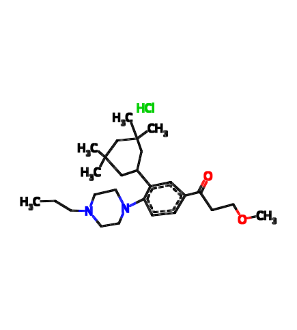 CCCN1CCN(c2ccc(C(=O)CCOC)cc2C2CC(C)(C)CC(C)(C)C2)CC1.Cl